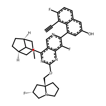 C#Cc1c(F)ccc2cc(O)cc(-c3ncc4c(N5C[C@H]6CC[C@@H](C5)C6SC)nc(OC[C@@]56CCCN5C[C@H](F)C6)nc4c3F)c12